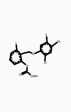 CCc1cc(Cl)c(OCc2c(I)cccc2OC(=O)OC)cc1F